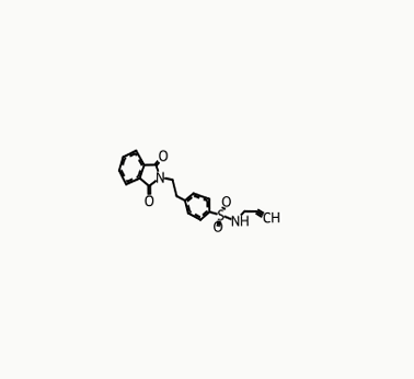 C#CCNS(=O)(=O)c1ccc(CCN2C(=O)c3ccccc3C2=O)cc1